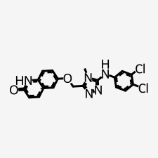 Cn1c(COc2ccc3[nH]c(=O)ccc3c2)nnc1Nc1ccc(Cl)c(Cl)c1